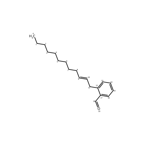 CCCCCCCCCC=CCc1ccccc1C=O